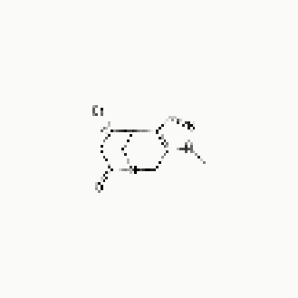 CC[C@H]1CC(=O)N2Cc3c(cnn3C)C1C2